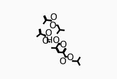 C=C(C)C(=O)OC.C=C(C)C(=O)OCC(C)C.C=C(C=C(C)C(=O)O)C(=O)OCC(C)C